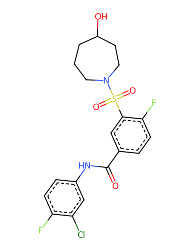 O=C(Nc1ccc(F)c(Cl)c1)c1ccc(F)c(S(=O)(=O)N2CCCC(O)CC2)c1